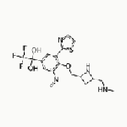 C=Nc1cc(C(O)(O)C(F)(F)F)cc(-c2nccs2)c1OCC1CC(CNC)N1